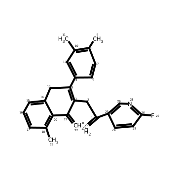 C=C(CC1=C(c2ccc(C)c(C)c2)Cc2cccc(C)c2C1=C)c1ccc(F)nc1